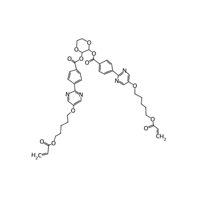 C=CC(=O)OCCCCCOc1cnc(-c2ccc(C(=O)OC3OCCOC3OC(=O)c3ccc(-c4ncc(OCCCCCOC(=O)C=C)cn4)cc3)cc2)nc1